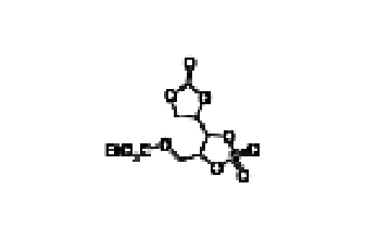 CCOC(=O)OCC1OS(=O)(=O)OC1C1COC(=O)O1